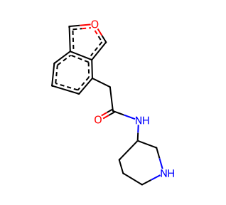 O=C(Cc1cccc2cocc12)NC1CCCNC1